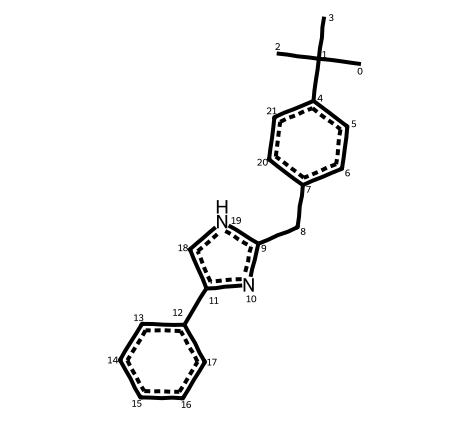 CC(C)(C)c1ccc(Cc2nc(-c3ccccc3)c[nH]2)cc1